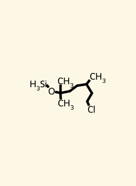 CC(CCCl)CCC(C)(C)O[SiH3]